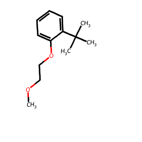 COCCOc1ccccc1C(C)(C)C